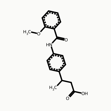 COc1ccccc1C(=O)Nc1ccc(C(C)CC(=O)O)cc1